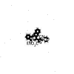 CCOC(=O)c1sc(N2CCOCC2)c(C#N)c1C(CN1C(=O)c2ccccc2C1=O)c1ccc2ccccc2c1